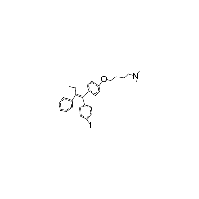 CC/C(=C(/c1ccc(I)cc1)c1ccc(OCCCCN(C)C)cc1)c1ccccc1